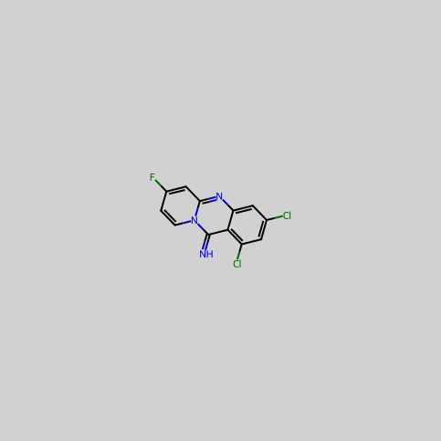 N=c1c2c(Cl)cc(Cl)cc2nc2cc(F)ccn12